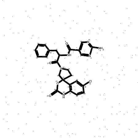 Nc1ncc(C(=O)NC(Cc2ccccc2)C(=O)N2CCC3(C2)OC(=O)Nc2ccc(Cl)cc23)cn1